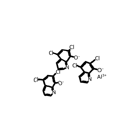 [Al+3].[O-]c1c(Cl)cc(Cl)c2cccnc12.[O-]c1c(Cl)cc(Cl)c2cccnc12.[O-]c1c(Cl)cc(Cl)c2cccnc12